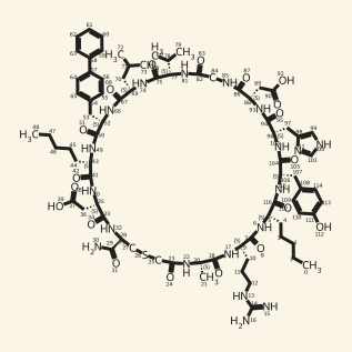 CCCCC[C@@H]1NC(=O)[C@H](CCCNC(=N)N)NC(=O)[C@H](C)NC(=O)CSC[C@@H](C(N)=O)NC(=O)[C@H](CC(=O)O)NC(=O)[C@H](CCCCC)NC(=O)[C@H](Cc2ccc(-c3ccccc3)cc2)NC(=O)[C@H](CC(C)C)NC(=O)[C@H](C(C)C)NC(=O)CNC(=O)[C@H](CC(=O)O)NC(=O)[C@H](Cc2c[nH]cn2)NC(=O)[C@H](Cc2ccc(O)cc2)NC1=O